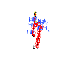 CCOCCOCCOCCOCCOCCOCCOCCOCCC(=O)NC(CCCCNC(=O)C(CCCNC(=N)N)NC(=O)C(CCCCNC(=S)NCCCCN=C=S)NC(=O)CCOCCOCCNC(=O)Cc1ccc2ccccc2c1)C(N)=O